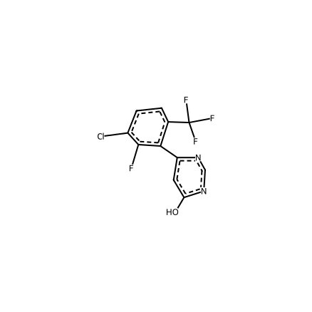 Oc1cc(-c2c(C(F)(F)F)ccc(Cl)c2F)ncn1